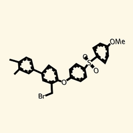 COc1ccc(S(=O)(=O)c2ccc(Oc3ccc(-c4ccc(C)c(C)c4)cc3CBr)cc2)cc1